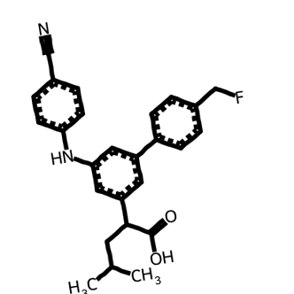 CC(C)CC(C(=O)O)c1cc(Nc2ccc(C#N)cc2)cc(-c2ccc(CF)cc2)c1